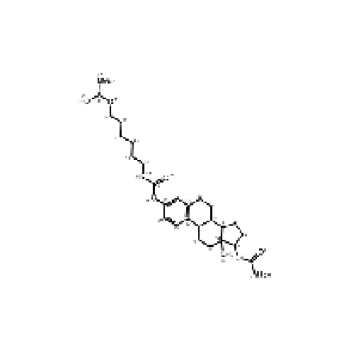 CCCCCCC(=O)OC1CCC2C3CCc4cc(OC(=O)NCCCCCCOP(O)NC)ccc4C3CCC12C